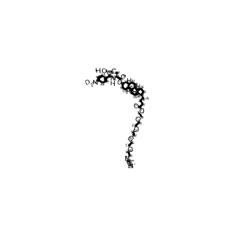 C[C@H](CCC(=O)OCCOCCOCCOCCOCCN=[N+]=[N-])C1CC[C@H]2[C@@H]3CC[C@@H]4C[C@H](OC(=O)[C@H](CC(=O)O)NC(=O)c5ccc([N+](=O)[O-])cc5)CC[C@]4(C)[C@H]3CC[C@]12C